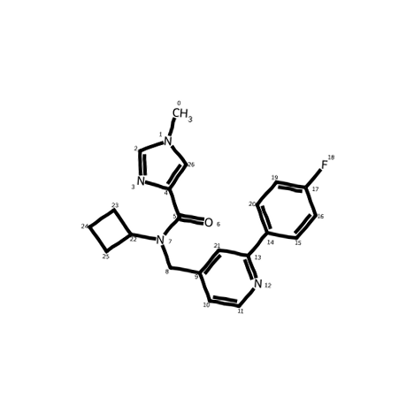 Cn1cnc(C(=O)N(Cc2ccnc(-c3ccc(F)cc3)c2)C2CCC2)c1